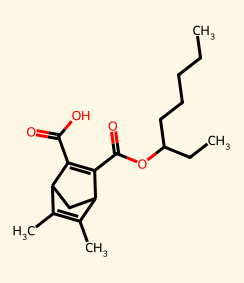 CCCCCC(CC)OC(=O)C1=C(C(=O)O)C2CC1C(C)=C2C